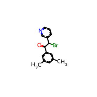 Cc1cc(C)cc(C(=O)C(Br)c2cccnc2)c1